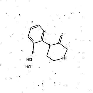 Cl.Cl.O=C1CNCCN1c1ncccc1F